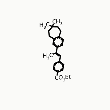 CCOC(=O)c1ccc(C=C(C)c2ccc3c(c2)CCC(C)(C)CC3)cc1